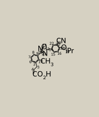 Cc1c(CCC(=O)O)cccc1-c1noc(-c2ccc(OC(C)C)c(C#N)c2)n1